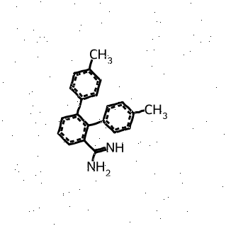 Cc1ccc(-c2cccc(C(=N)N)c2-c2ccc(C)cc2)cc1